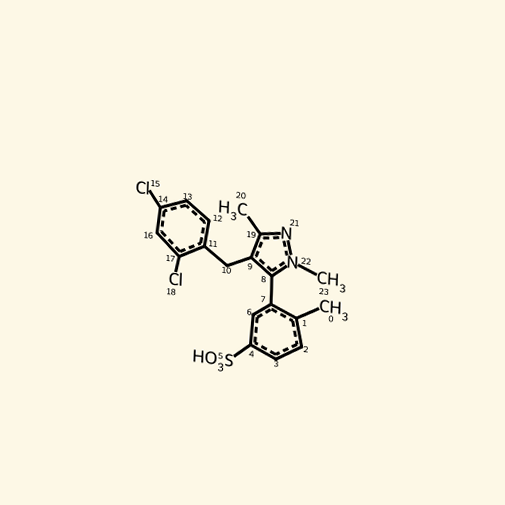 Cc1ccc(S(=O)(=O)O)cc1-c1c(Cc2ccc(Cl)cc2Cl)c(C)nn1C